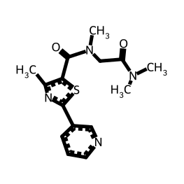 Cc1nc(-c2cccnc2)sc1C(=O)N(C)CC(=O)N(C)C